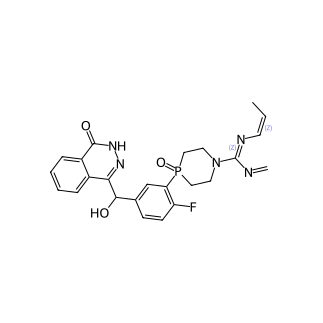 C=N/C(=N\C=C/C)N1CCP(=O)(c2cc(C(O)c3n[nH]c(=O)c4ccccc34)ccc2F)CC1